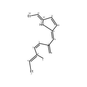 C=C(/C=C\C(C)=C\CC)/C=c1/cc/c(=C/CC)[nH]1